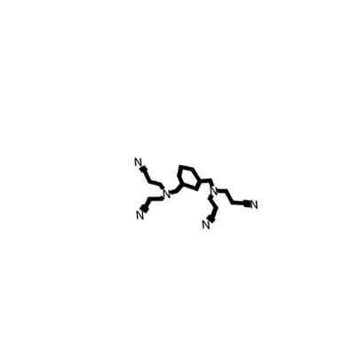 N#CCCN(CCC#N)CC1CCCC(CN(CCC#N)CCC#N)C1